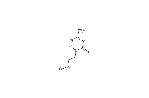 CCOCCn1ccc(C(=O)O)cc1=O